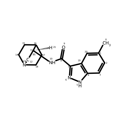 Cc1ccc2[nH]nc(C(=O)N[C@H]3CN4CCC3CC4)c2c1